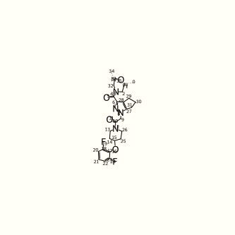 C[C@@H]1CN(C(=O)c2nn(CC(=O)N3CCC(Oc4c(F)cccc4F)CC3)c3c2CCC3)C[C@H](C)O1